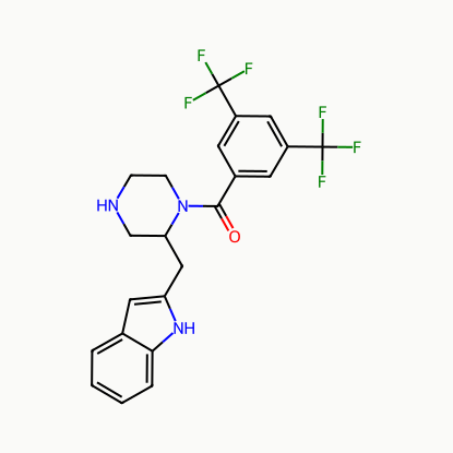 O=C(c1cc(C(F)(F)F)cc(C(F)(F)F)c1)N1CCNCC1Cc1cc2ccccc2[nH]1